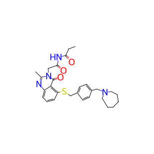 CCC(=O)NC(=O)Cn1c(C)nc2cccc(SCc3ccc(CN4CCCCCC4)cc3)c2c1=O